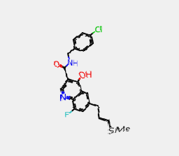 CSCCCc1cc(F)c2ncc(C(=O)NCc3ccc(Cl)cc3)c(O)c2c1